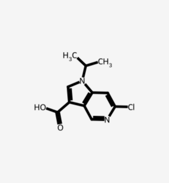 CC(C)n1cc(C(=O)O)c2cnc(Cl)cc21